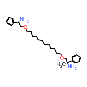 C[C@](N)(COCCCCCCCCCCCCOC[C@@H](N)c1ccccc1)c1ccccc1